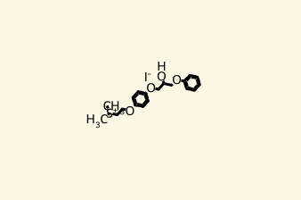 C[S+](C)CCOc1ccc(OCC(O)COc2ccccc2)cc1.[I-]